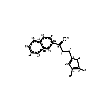 CC1=C(C)CC(CCC(=O)c2ccc3ccccc3c2)=C1